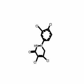 O=C1NN(c2ccc(Cl)c(Cl)c2)CC(Cl)=C1Cl